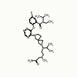 CCN(C(=O)c1cc(F)ccc1Oc1nncnc1N1CCC2(C1)CN([C@H](CCN(C)CC(N)=O)C(C)C)C2)C(C)C